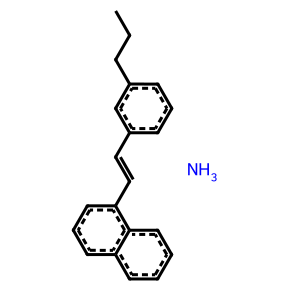 CCCc1cccc(C=Cc2cccc3ccccc23)c1.N